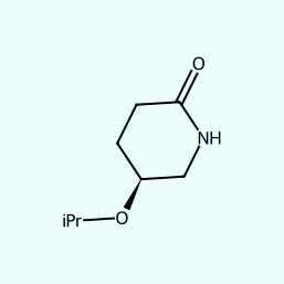 CC(C)O[C@H]1CCC(=O)NC1